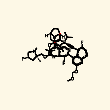 COCOc1cc(-c2ncc3c(N4C[C@H]5CC[C@@H](C4)N5C(=O)OC(C)(C)C)nc(OC[C@@]4(C)C[C@@H](F)CN4C)nc3c2F)c2c(C#C[Si](C(C)C)(C(C)C)C(C)C)c(F)ccc2c1